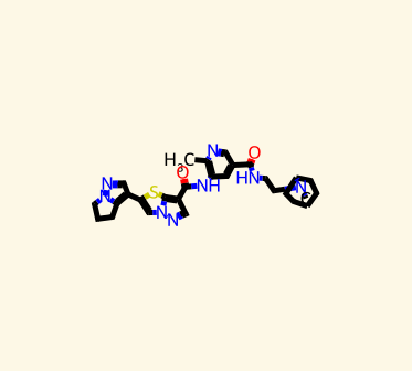 Cc1ncc(C(=O)NCCN2CC3CCC2CC3)cc1NC(=O)c1cnn2cc(-c3cnn4c3CCC4)sc12